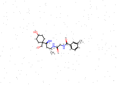 C[C@H](CC(=N)C1(C[O])CCC(O)CC1)NC(=O)CNC(=O)c1cccc(C(F)(F)F)c1